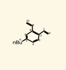 C=Cc1ccc(CCCC)cc1C=C